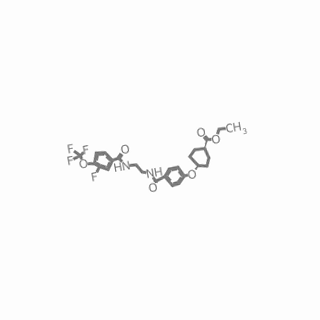 CCOC(=O)[C@H]1CC[C@@H](Oc2ccc(C(=O)NCCNC(=O)c3ccc(OC(F)(F)F)c(F)c3)cc2)CC1